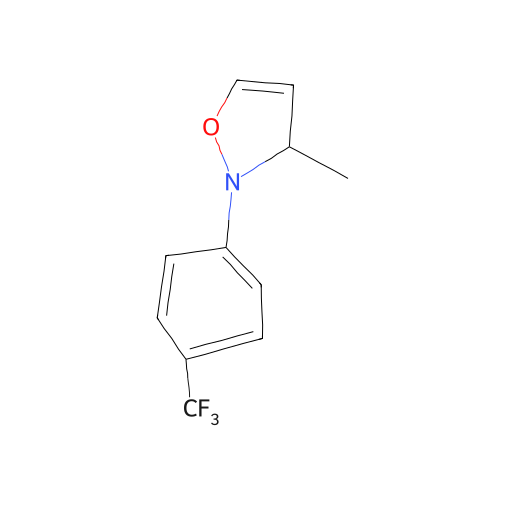 CC1C=CON1c1ccc(C(F)(F)F)cc1